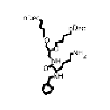 CCCCCCCCCCCCCCOCC(CNC(=O)C(CCCCN)NCc1ccccc1)OCCCCCCCCCCCCCC